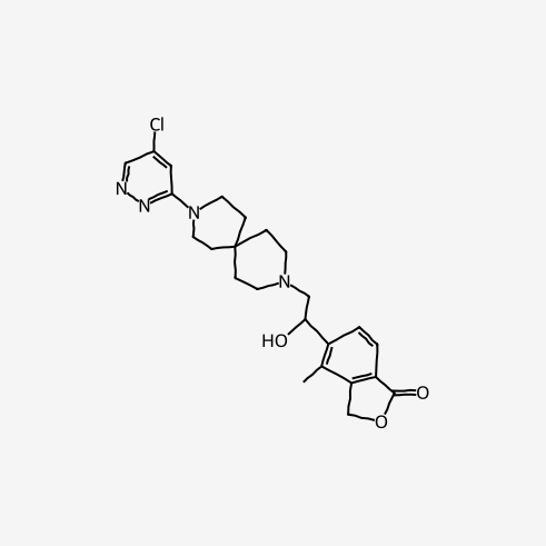 Cc1c(C(O)CN2CCC3(CC2)CCN(c2cc(Cl)cnn2)CC3)ccc2c1COC2=O